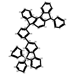 c1ccc(C2c3ccccc3-c3c2ccc2c3-c3ccccc3C2c2cccc(-c3ccc4c(c3)[Si](c3ccccc3)(c3ccccc3)c3ccccc3-4)c2)cc1